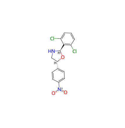 O=[N+]([O-])c1ccc([C@@H]2CN[C@@H](c3c(Cl)cccc3Cl)O2)cc1